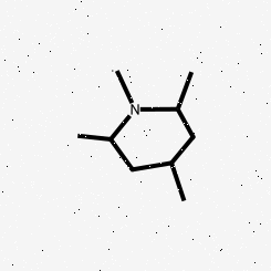 [CH2]N1C(C)CC(C)CC1C